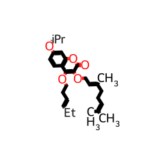 CCC=CCCOc1c(OC/C=C(\C)CCC=C(C)C)c(=O)oc2cc(OC(C)C)ccc12